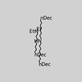 CCCCCCCCCCCCCCCCCCN(CC)CC.CCCCCCCCCCCCCCCCCCNCCCCCCCCCCCCCCCCCC